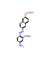 CCCCCCCCOc1ccc2cc(/N=N/c3ccc(N)cc3OC)ccc2c1